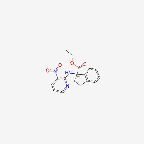 CCOC(=O)[C@@]1(Nc2ncccc2[N+](=O)[O-])CCc2ccccc21